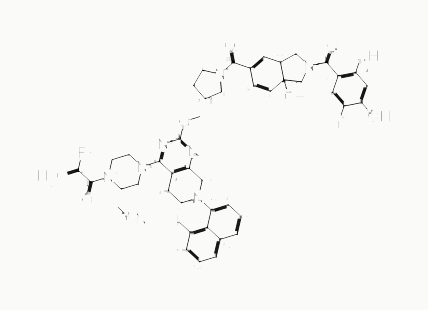 C=C(F)C(=O)N1CCN(c2nc(OC[C@@H]3CCN(C(=O)C4=CC5CN(C(=O)c6cc(C(C)C)c(O)cc6O)CC5(C)C=C4)C3)nc3c2CCN(c2cccc4cccc(Cl)c24)C3)C[C@@H]1CC#N